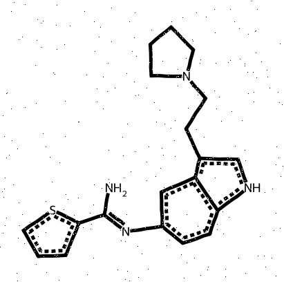 NC(=Nc1ccc2[nH]cc(CCN3CCCC3)c2c1)c1cccs1